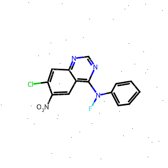 O=[N+]([O-])c1cc2c(N(F)c3ccccc3)ncnc2cc1Cl